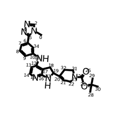 Cn1cnnc1-c1cccc(Nc2ccnc3c2CC(C2=CCN(C(=O)OC(C)(C)C)CC2)N3)c1